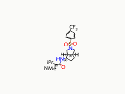 CN[C@H](C(=O)N[C@@H]1CC[C@H]2CN(S(=O)(=O)c3ccc(C(F)(F)F)cc3)C[C@H]21)C(C)C